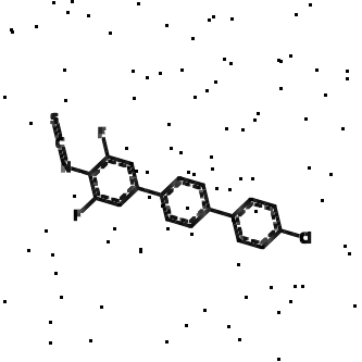 Fc1cc(-c2ccc(-c3ccc(Cl)cc3)cc2)cc(F)c1N=C=S